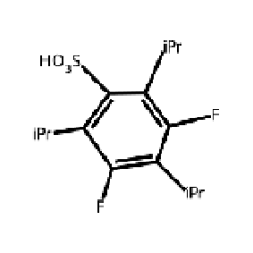 CC(C)c1c(F)c(C(C)C)c(S(=O)(=O)O)c(C(C)C)c1F